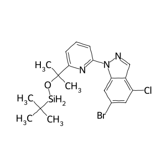 CC(C)(C)[SiH2]OC(C)(C)c1cccc(-n2ncc3c(Cl)cc(Br)cc32)n1